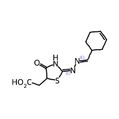 O=C(O)CC1S/C(=N/N=C/C2CC=CCC2)NC1=O